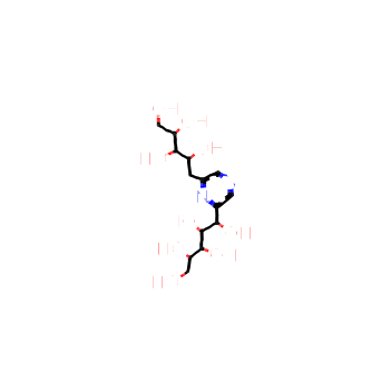 OCC(O)C(O)C(O)Cc1cncc(C(O)C(O)C(O)C(O)CO)n1